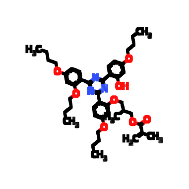 C=C(C)C(=O)OCC(C)COc1cc(OCCCC)ccc1-c1nc(-c2ccc(OCCCC)cc2O)nc(-c2ccc(OCCCC)cc2OCCCC)n1